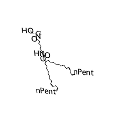 CCCCC/C=C\C/C=C\CCCCCCCCC(CCCCCCCC/C=C\C/C=C\CCCCC)OC(=O)NCCCCCC(=O)N1CCC[C@H]1CO